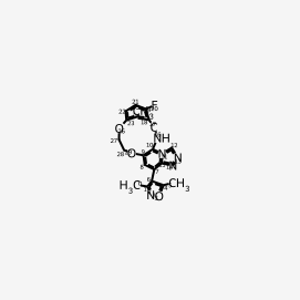 Cc1noc(C)c1-c1cc2c(n3cnnc13)NCc1c(F)ccc(c1C)OCCO2